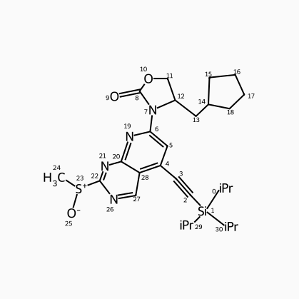 CC(C)[Si](C#Cc1cc(N2C(=O)OCC2CC2CCCC2)nc2nc([S+](C)[O-])ncc12)(C(C)C)C(C)C